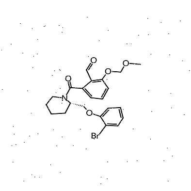 COCOc1cccc(C(=O)N2CCCC[C@H]2COc2ccccc2Br)c1C=O